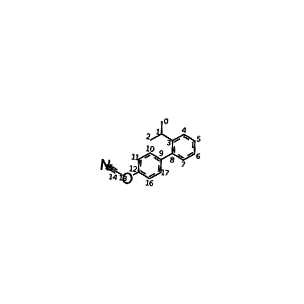 CC(C)c1ccccc1-c1ccc(OC#N)cc1